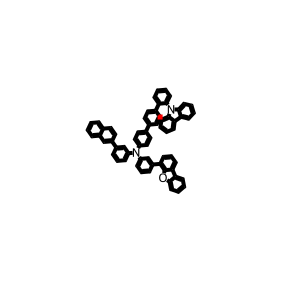 c1cc(-c2ccc3ccccc3c2)cc(N(c2ccc(-c3ccc(-c4ccccc4-n4c5ccccc5c5ccccc54)cc3)cc2)c2cccc(-c3cccc4c3oc3ccccc34)c2)c1